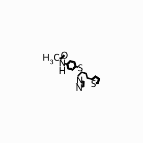 CC(=O)Nc1ccc(SC(CCc2cccs2)Cn2ccnc2)cc1